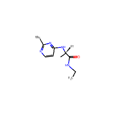 CC[C@@](C)(Nc1ccnc(C(C)(C)C)n1)C(=O)NCC(F)(F)F